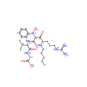 CCCCCNC(CCCNC(=N)N)C(=O)C(C(=O)NC(C(=O)NCC(=O)O)C(C)C)N(O)c1ccccc1